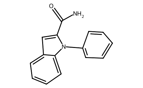 NC(=O)c1cc2ccccc2n1-c1ccccc1